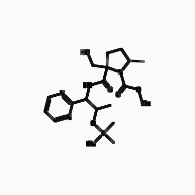 CC(O[Si](C)(C)C(C)(C)C)C(NC(=O)C1(CO)CCC(C)N1C(=O)OC(C)(C)C)c1ncccn1